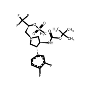 CC(C)(C)OC(=O)N[C@@H]1CN(C[C@H](OS(C)(=O)=O)C(F)(F)F)C[C@H]1c1ccc(F)c(F)c1